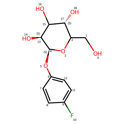 OCC1O[C@@H](Oc2ccc(F)cc2)[C@@H](O)C(O)[C@@H]1O